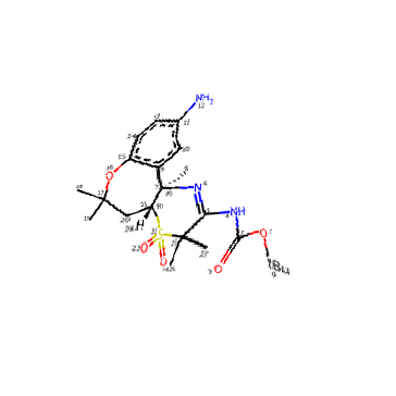 CC(C)(C)OC(=O)NC1=N[C@]2(C)c3cc(N)ccc3OC(C)(C)C[C@H]2S(=O)(=O)C1(C)C